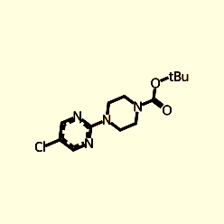 CC(C)(C)OC(=O)N1CCN(c2ncc(Cl)cn2)CC1